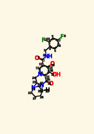 O=C(NCc1ccc(F)cc1F)c1cn2c(c(O)c1=O)C(=O)N1C(C2)N2CCC[C@@H]1C2